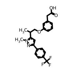 CC(COc1cccc(CC(=O)O)c1)c1cc(-c2ccc(C(F)(F)F)cc2)nn1C